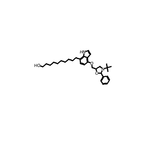 CC(C)(C)N1CC(COc2ccc(CCCCCCCCCCO)c3[nH]ccc23)OC1c1ccccc1